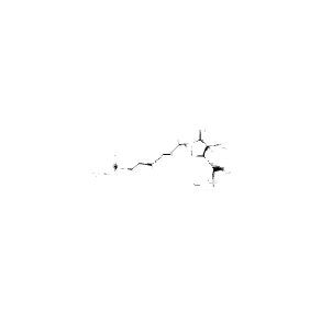 COC(=O)CCCCCCN1SC(C(N)=O)=C(Cl)C1Cl